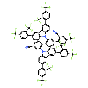 N#Cc1ccc(-c2ccc(-c3ccc(C(F)(F)F)cc3C#N)cc2-n2c3ccc(-c4ccc(C(F)(F)F)cc4C(F)(F)F)cc3c3cc(-c4ccc(C(F)(F)F)cc4C(F)(F)F)ccc32)c(-n2c3ccc(-c4ccc(C(F)(F)F)cc4C(F)(F)F)cc3c3cc(-c4ccc(C(F)(F)F)cc4C(F)(F)F)ccc32)c1